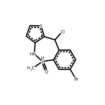 C[SH]1(=O)Nc2ccsc2C(Cl)c2ccc(Br)cc21